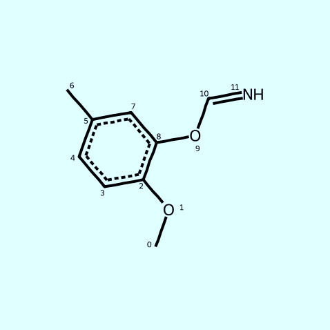 COc1ccc(C)cc1OC=N